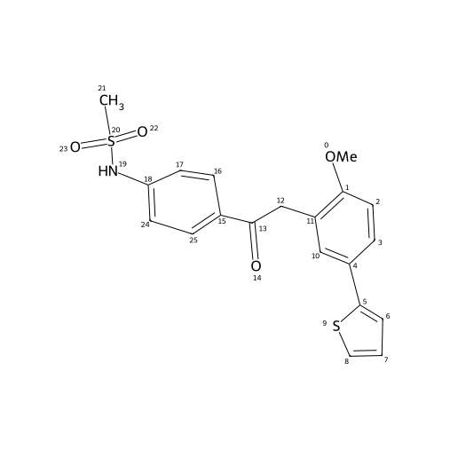 COc1ccc(-c2cccs2)cc1CC(=O)c1ccc(NS(C)(=O)=O)cc1